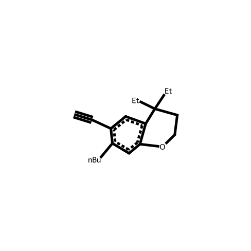 C#Cc1cc2c(cc1CCCC)OCCC2(CC)CC